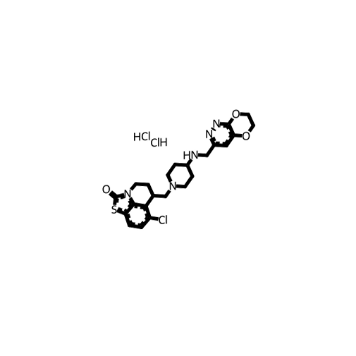 Cl.Cl.O=c1sc2ccc(Cl)c3c2n1CCC3CN1CCC(NCc2cc3c(nn2)OCCO3)CC1